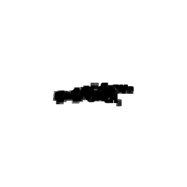 COc1cc(C)c(S(=O)(=O)N2CC(Oc3nccc(N4CCC(CCN5CCCCC5)CC4)n3)C2)c(C)c1